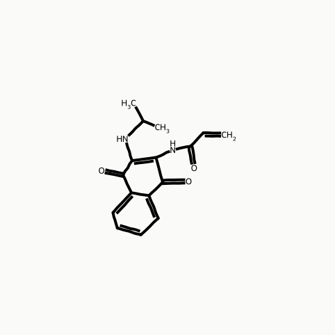 C=CC(=O)NC1=C(NC(C)C)C(=O)c2ccccc2C1=O